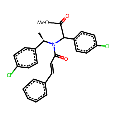 COC(=O)C(c1ccc(Cl)cc1)N(C(=O)C=Cc1ccccc1)[C@H](C)c1ccc(Cl)cc1